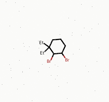 CCC1(CC)CCCC(Br)C1Br